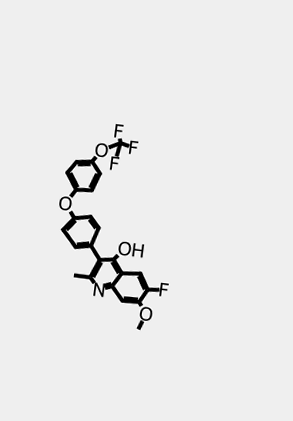 COc1cc2nc(C)c(-c3ccc(Oc4ccc(OC(F)(F)F)cc4)cc3)c(O)c2cc1F